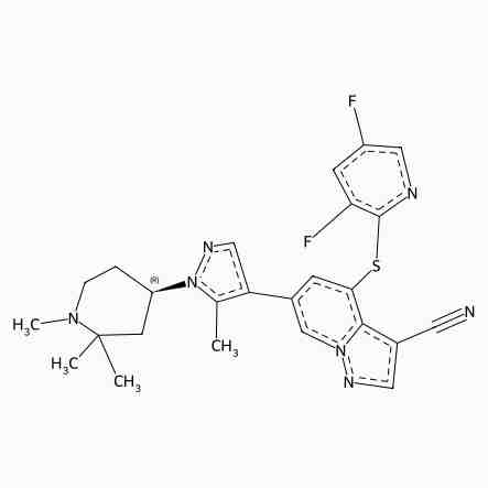 Cc1c(-c2cc(Sc3ncc(F)cc3F)c3c(C#N)cnn3c2)cnn1[C@@H]1CCN(C)C(C)(C)C1